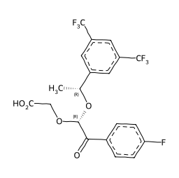 C[C@@H](O[C@@H](OCC(=O)O)C(=O)c1ccc(F)cc1)c1cc(C(F)(F)F)cc(C(F)(F)F)c1